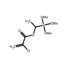 C=C(Cl)C(=O)OC(C)[Si](OC)(OC)OC